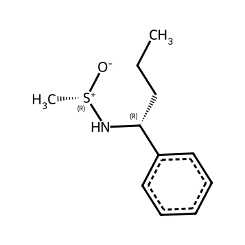 CCC[C@@H](N[S@+](C)[O-])c1ccccc1